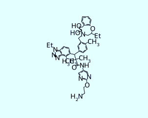 CCC1CN(Cc2cc(C(c3ccc4c(nnn4CC)c3C)C(C)(C)C(=O)Nc3cnc(OCCN)nc3)ccc2C)S(O)(O)c2ccccc2O1